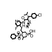 CC(C)[C@H](c1ccc(Cl)cc1)[C@@H](N=[N+]=[N-])C(=O)Nc1cncc(F)c1CCC1CN(C(=O)O)CC(C)N1S(=O)(=O)c1ccccc1